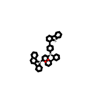 c1ccc(-c2ccccc2N(c2ccc(-c3cccc4c3sc3ccccc34)cc2)c2ccc(-n3c4ccccc4c4ccc5ccccc5c43)cc2)cc1